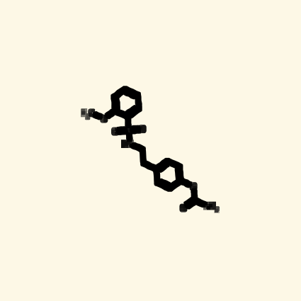 NC(=O)Oc1ccc(CCNS(=O)(=O)c2ccccc2OC(F)(F)F)cc1